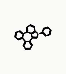 c1ccc(-n2cc3c4c(cccc42)-c2ccccc2-c2ccccc2-3)cc1